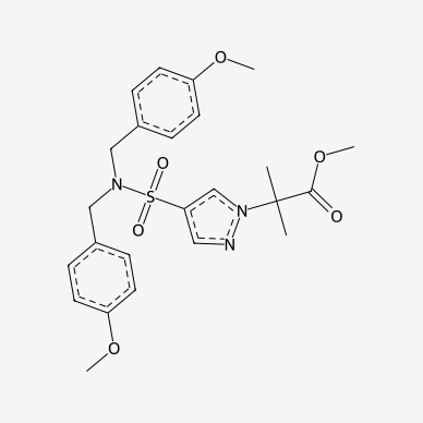 COC(=O)C(C)(C)n1cc(S(=O)(=O)N(Cc2ccc(OC)cc2)Cc2ccc(OC)cc2)cn1